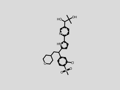 CC(C)(O)C(O)c1ccc(-c2ccc(C(CC3CCOCC3)c3ccc(S(C)(=O)=O)c(Cl)c3)[nH]2)nc1